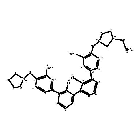 COc1nc(-c2cccc(-c3cccc(-c4cnc(CN5CC[C@@H](CNC(C)=O)C5)c(OC)n4)c3Cl)c2Cl)cnc1CN1CCCC1